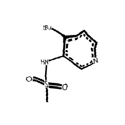 CC(C)(C)c1ccncc1NS(C)(=O)=O